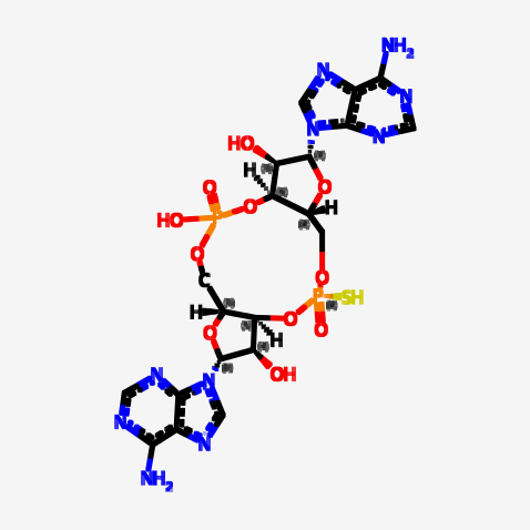 Nc1ncnc2c1ncn2[C@@H]1O[C@@H]2CO[P@@](=O)(S)O[C@H]3[C@@H](O)[C@H](n4cnc5c(N)ncnc54)O[C@@H]3COP(=O)(O)O[C@H]2[C@H]1O